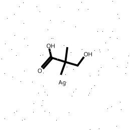 CC(C)(CO)C(=O)O.[Ag]